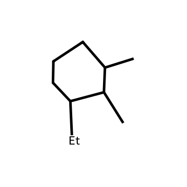 CCC1CCCC(C)C1C